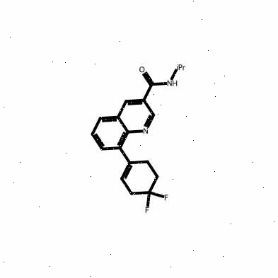 CC(C)NC(=O)c1cnc2c(C3=CCC(F)(F)CC3)cccc2c1